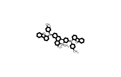 Cc1ccc(N(c2ccc3c(c2)[Si](C)(C)c2cccc4c2c-3cc2ccc(N(c3ccc(C)cc3)c3cccc5c3oc3ccccc35)cc24)c2cccc3c2oc2ccccc23)cc1